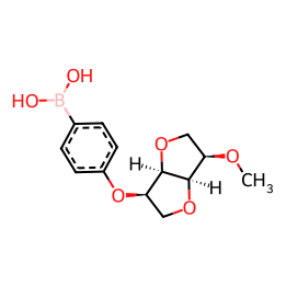 CO[C@@H]1CO[C@H]2[C@@H]1OC[C@H]2Oc1ccc(B(O)O)cc1